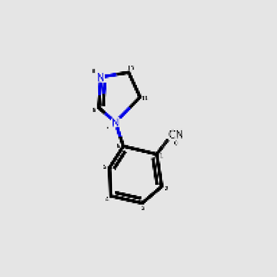 N#Cc1ccccc1N1C=NCC1